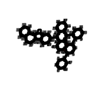 c1ccc(-c2ccc(-c3ccccc3-c3c4ccccc4c(-c4ccc5c(c4)oc4c6ccccc6ccc54)c4ccccc34)cc2)cc1